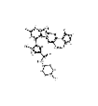 COc1cc2c(cc1-c1c(C)noc1C)[nH]c1nc(C)nc(-c3cc(C(=O)N[C@H]4CC[C@H](O)CC4)[nH]c3C(C)C)c12